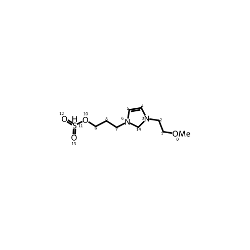 COCCN1C=CN(CCCO[SH](=O)=O)C1